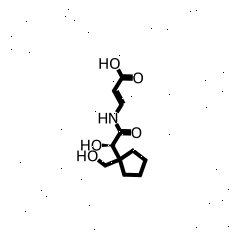 O=C(O)/C=C/NC(=O)[C@H](O)C1(CO)CCCC1